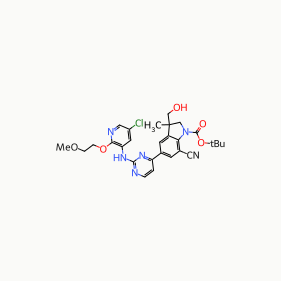 COCCOc1ncc(Cl)cc1Nc1nccc(-c2cc(C#N)c3c(c2)C(C)(CO)CN3C(=O)OC(C)(C)C)n1